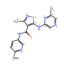 COc1ccc(NC(=O)c2c(C)nsc2Nc2cncc(C(F)(F)F)n2)cn1